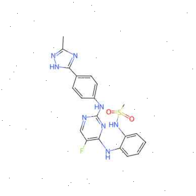 Cc1n[nH]c(-c2ccc(Nc3ncc(F)c(Nc4ccccc4NS(C)(=O)=O)n3)cc2)n1